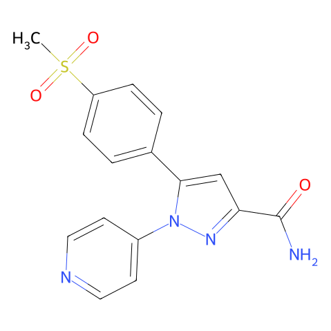 CS(=O)(=O)c1ccc(-c2cc(C(N)=O)nn2-c2ccncc2)cc1